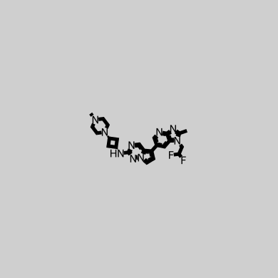 Cc1nc2ncc(-c3ccn4nc(N[C@H]5C[C@H](N6CCN(C)CC6)C5)ncc34)cc2n1CC(F)F